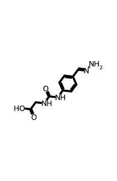 NN=Cc1ccc(NC(=O)NCC(=O)O)cc1